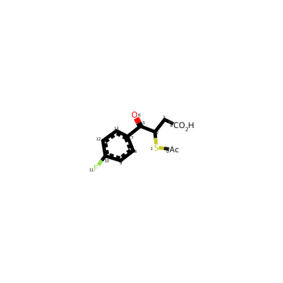 CC(=O)SC(CC(=O)O)C(=O)c1ccc(F)cc1